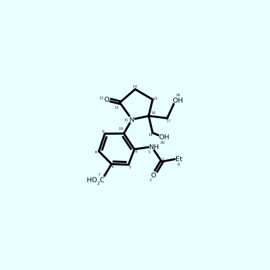 CCC(=O)Nc1cc(C(=O)O)ccc1N1C(=O)CCC1(CO)CO